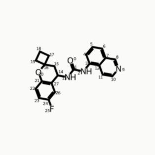 O=C(Nc1cccc2cnccc12)NC1CC2(CCC2)Oc2ccc(F)cc21